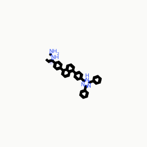 C/C=C(\NCN)c1ccc(-c2cccc3c(-c4ccc(C5N=C(c6ccccc6)N=C(c6ccccc6)N5)cc4)cccc23)cc1